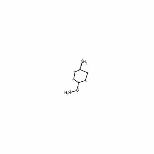 NO[C@H]1CC[C@@H](N)CC1